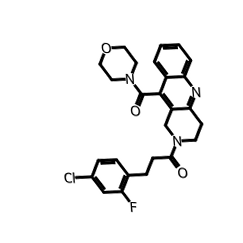 O=C(CCc1ccc(Cl)cc1F)N1CCc2nc3ccccc3c(C(=O)N3CCOCC3)c2C1